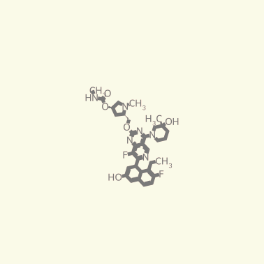 CCC1=C(F)C=CC2=CC(O)=CC(c3ncc4c(N5CCC[C@@](C)(O)C5)nc(OC[C@@H]5C[C@@H](OC(=O)NC)CN5C)nc4c3F)C21